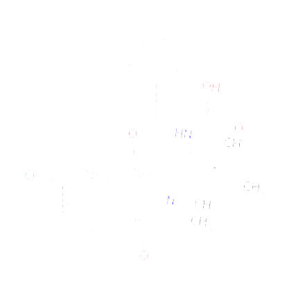 Cn1c(C(NC(=O)O)C(C)(C)C)c(OCC2CCCC2)c2cc(Cl)ccc2c1=O